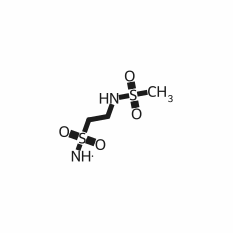 CS(=O)(=O)NCCS([NH])(=O)=O